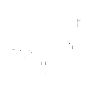 C=CN(/N=C\CC1C=C(NCc2coc(N)n2)C(Cl)=CC1)C1CCNCC1